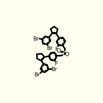 O=S(=O)(Cc1ccc(C2=C(c3cc(Br)cc(Br)c3)CCC2)cc1F)Cc1ccc(C2=C(c3cc(Br)cc(Br)c3)CCC2)cc1F